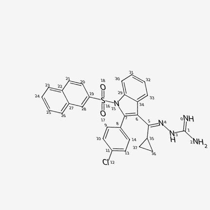 N=C(N)NN=C(c1c(-c2ccc(Cl)cc2)n(S(=O)(=O)c2ccc3ccccc3c2)c2ccccc12)C1CC1